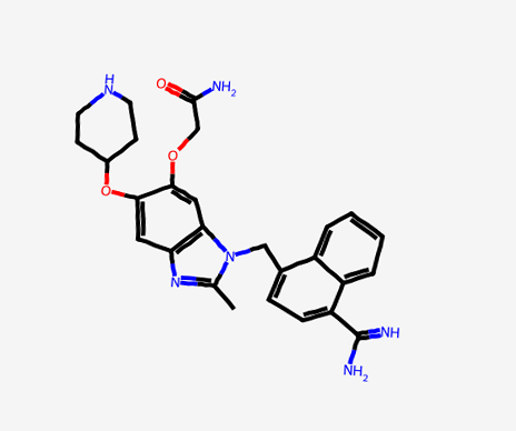 Cc1nc2cc(OC3CCNCC3)c(OCC(N)=O)cc2n1Cc1ccc(C(=N)N)c2ccccc12